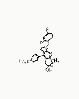 Cc1ccc(-c2c(CC(=O)O)c(C)nc3c2ccn3Cc2ccc(F)cc2F)cc1